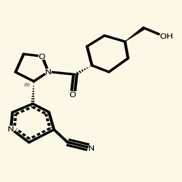 N#Cc1cncc([C@@H]2CCON2C(=O)[C@H]2CC[C@H](CO)CC2)c1